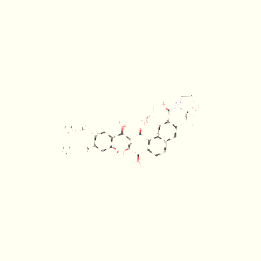 COc1cc2oc3c(c(=O)c2cc1OC)C(=O)c1c(ccc2cc4c(c(O)c12)C(=O)N1CCOC1(C)C4)C3=O